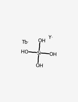 O[Si](O)(O)O.[Tb].[Y]